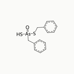 O=[As](S)(Cc1ccccc1)SCc1ccccc1